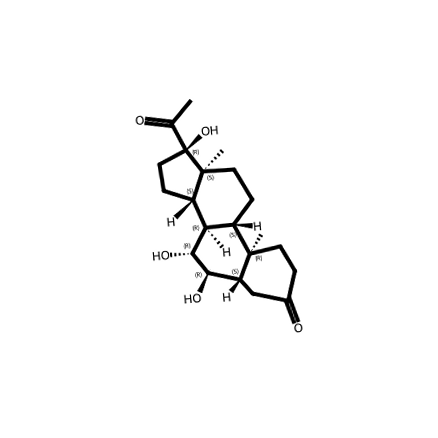 CC(=O)[C@@]1(O)CC[C@H]2[C@@H]3[C@@H](O)[C@H](O)[C@H]4CC(=O)CC[C@]4(C)[C@H]3CC[C@@]21C